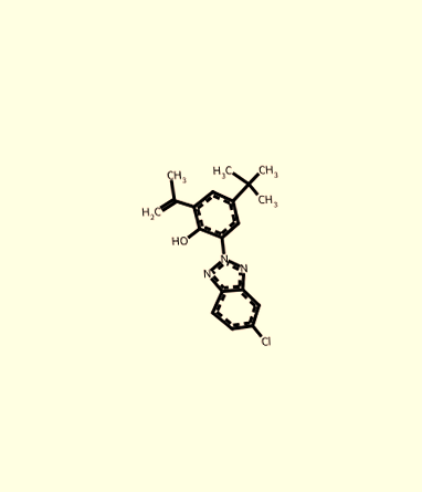 C=C(C)c1cc(C(C)(C)C)cc(-n2nc3ccc(Cl)cc3n2)c1O